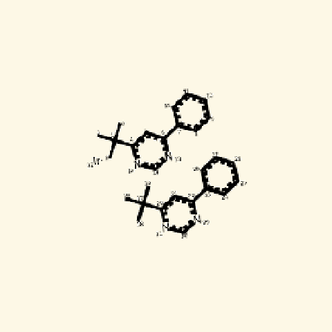 CC(C)(C)c1cc(-c2ccccc2)ncn1.CC(C)(C)c1cc(-c2ccccc2)ncn1.[Ir]